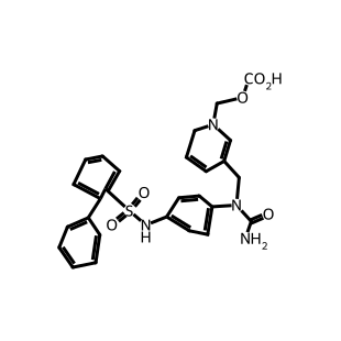 NC(=O)N(CC1=CN(COC(=O)O)CC=C1)c1ccc(NS(=O)(=O)c2ccccc2-c2ccccc2)cc1